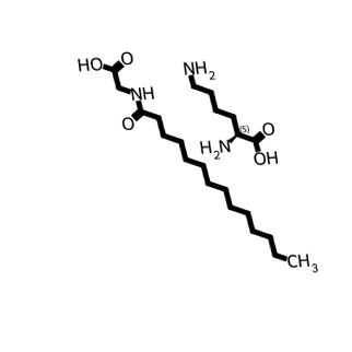 CCCCCCCCCCCCCC(=O)NCC(=O)O.NCCCC[C@H](N)C(=O)O